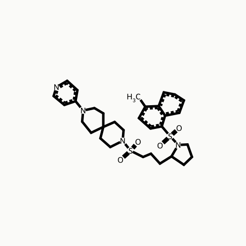 Cc1ccc(S(=O)(=O)N2CCCC2CCCS(=O)(=O)N2CCC3(CCN(c4ccncc4)CC3)CC2)c2ccccc12